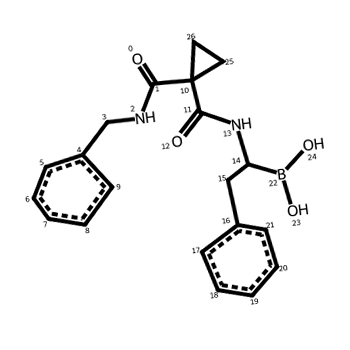 O=C(NCc1ccccc1)C1(C(=O)NC(Cc2ccccc2)B(O)O)CC1